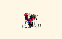 CCN1/C(=C/C=C(/C=C/C2=[N+](CC)c3ccc4c(S(=O)(=O)[O-])cc(S(=O)(=O)O)cc4c3C2(C)C)c2ccc(C(=O)NCc3ccc(S(N)(=O)=O)cc3)cn2)C(C)(C)c2c1ccc1c(S(=O)(=O)O)cc(S(=O)(=O)O)cc21